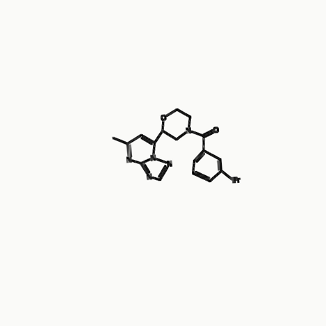 Cc1cc(C2CN(C(=O)c3cccc(C(C)C)c3)CCO2)n2ncnc2n1